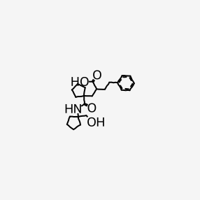 O=C(O)C(CCc1ccccc1)CC1(C(=O)NC2(CO)CCCC2)CCCC1